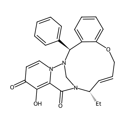 CC[C@H]1/C=C/COc2ccccc2[C@H](c2ccccc2)N2CN1C(=O)c1c(O)c(=O)ccn12